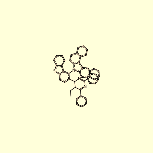 CCC1C(c2ccccc2)=NC(c2ccccc2)=NC1c1ccc2sc3ccccc3c2c1-n1c2cc3ccccc3cc2c2c3ccccc3ccc21